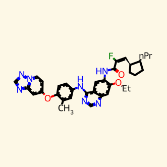 CCCC1CCC[C@H]1/C=C(/F)C(=O)Nc1cc2c(Nc3ccc(Oc4ccn5ncnc5c4)c(C)c3)ncnc2cc1OCC